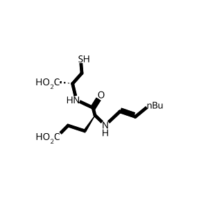 CCCCC=CN[C@@H](CCC(=O)O)C(=O)N[C@@H](CS)C(=O)O